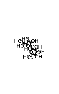 OC[C@H](O)[C@H]1O[C@H](O[C@@]2(O)O[C@H](CO)[C@@H](O)[C@H](O)[C@H]2O)[C@H](O)[C@H]1O